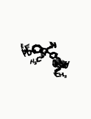 CCCS(=O)(=O)Nc1ccc(-c2c(C#N)c3ccc(OC(F)(F)F)cc3n2CC)cc1